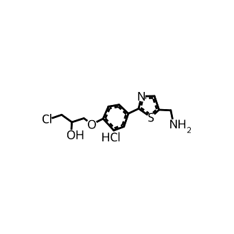 Cl.NCc1cnc(-c2ccc(OCC(O)CCl)cc2)s1